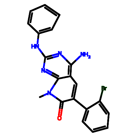 Cn1c(=O)c(-c2ccccc2Br)cc2c(N)nc(Nc3ccccc3)nc21